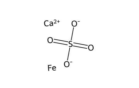 O=S(=O)([O-])[O-].[Ca+2].[Fe]